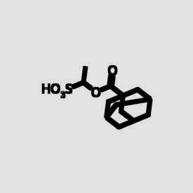 CC(OC(=O)C12CC3CC(CC(C3)C1)C2)S(=O)(=O)O